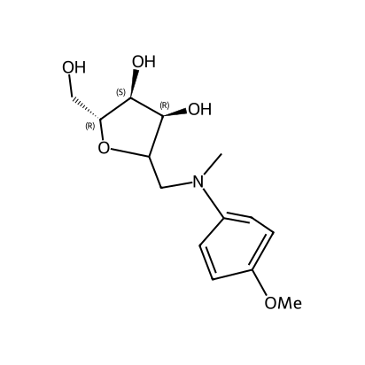 COc1ccc(N(C)CC2O[C@H](CO)[C@@H](O)[C@H]2O)cc1